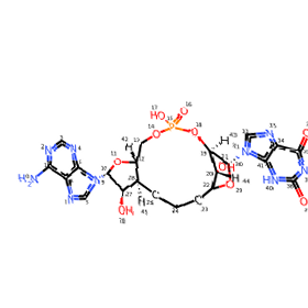 Nc1ncnc2c1ncn2[C@@H]1O[C@@H]2COP(=O)(O)O[C@@H]3[C@H](O)C(CCC[C@H]2[C@H]1O)O[C@H]3n1cnc2c(=O)[nH]c(=O)[nH]c21